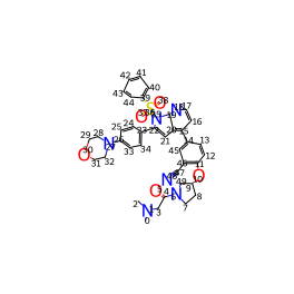 CN(C)CC(=O)N1CCC(Oc2ccc(-c3ccnc4c3cc(-c3ccc(N5CCOCC5)cc3)n4S(=O)(=O)c3ccccc3)cc2C#N)C1